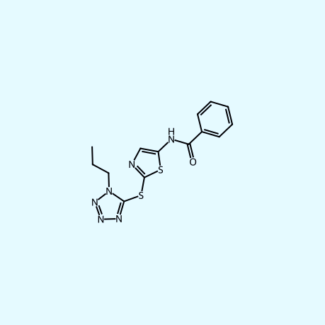 CCCn1nnnc1Sc1ncc(NC(=O)c2ccccc2)s1